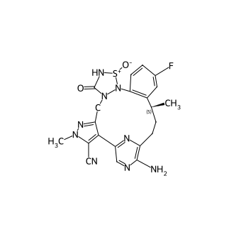 C[C@H]1CCc2nc(cnc2N)-c2c(nn(C)c2C#N)CN2C(=O)N[S+]([O-])N2c2ccc(F)cc21